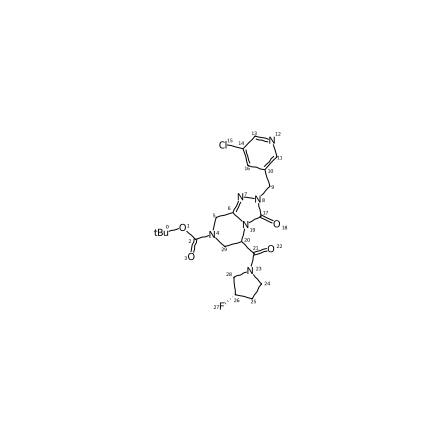 CC(C)(C)OC(=O)N1Cc2nn(Cc3cncc(Cl)c3)c(=O)n2C(C(=O)N2CC[C@H](F)C2)C1